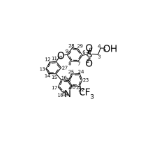 O=S(=O)(CCO)c1ccc(Oc2cccc(-c3ccnc4c(C(F)(F)F)cccc34)c2)cc1